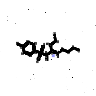 CCCC/N=C(/NS(=O)(=O)c1ccc(C)cc1)OCC